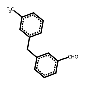 O=Cc1cccc(Cc2cccc(C(F)(F)F)c2)c1